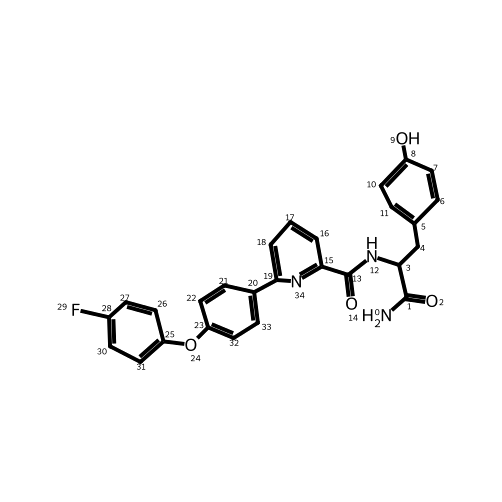 NC(=O)C(Cc1ccc(O)cc1)NC(=O)c1cccc(-c2ccc(Oc3ccc(F)cc3)cc2)n1